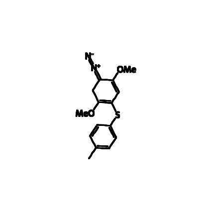 COC1=CC(Sc2ccc(C)cc2)=C(OC)CC1=[N+]=[N-]